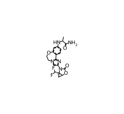 CC(Nc1ccc2c(c1)OCCn1cc(N3C(=O)OC4C[C@@]43C(F)F)nc1-2)C(N)=O